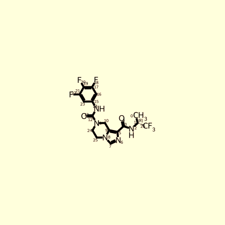 C[C@@H](NC(=O)c1ncn2c1CN(C(=O)Nc1cc(F)c(F)c(F)c1)CC2)C(F)(F)F